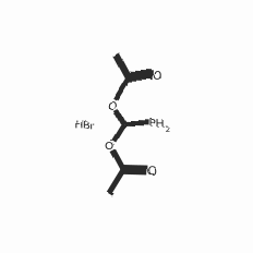 Br.CC(=O)OC(P)OC(C)=O